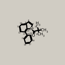 CC(C)(C)C(=O)n1ccc2cccc(-c3ccccc3)c21